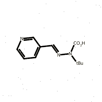 CC(C)(C)N(N=Cc1cccnc1)C(=O)O